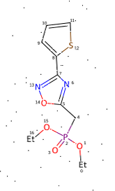 CCOP(=O)(Cc1nc(-c2cccs2)no1)OCC